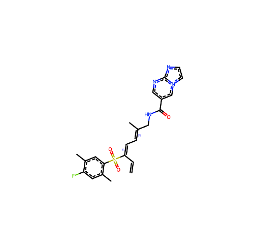 C=C/C(=C\C=C(/C)CNC(=O)c1cnc2nccn2c1)S(=O)(=O)c1cc(C)c(F)cc1C